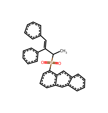 CC(C(=Cc1ccccc1)c1ccccc1)S(=O)(=O)c1cccc2cc3ccccc3cc12